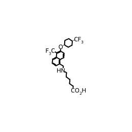 O=C(O)CCCCCNCc1cccc2c(C(F)(F)F)c(O[C@H]3CC[C@@H](C(F)(F)F)CC3)ccc12